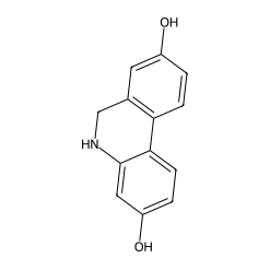 Oc1ccc2c(c1)CNc1cc(O)ccc1-2